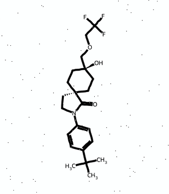 CC(C)(C)c1ccc(N2CC[C@]3(CC[C@@](O)(COCC(F)(F)F)CC3)C2=O)cc1